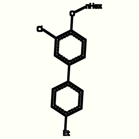 CCCCCCOc1ccc(-c2ccc(CC)cc2)cc1Cl